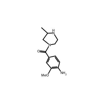 COc1cc(C(=O)N2CCNC(C)C2)ccc1N